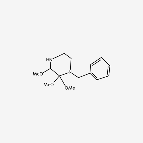 COC1NCCN(Cc2ccccc2)C1(OC)OC